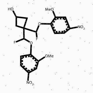 COc1cc([N+](=O)[O-])ccc1OC(F)C1(C(F)Oc2ccc([N+](=O)[O-])cc2OC)CC(O)C1